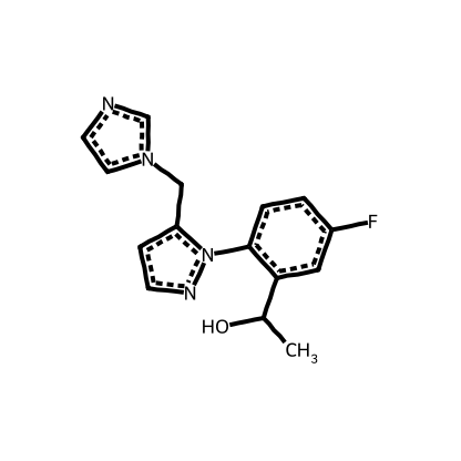 CC(O)c1cc(F)ccc1-n1nccc1Cn1ccnc1